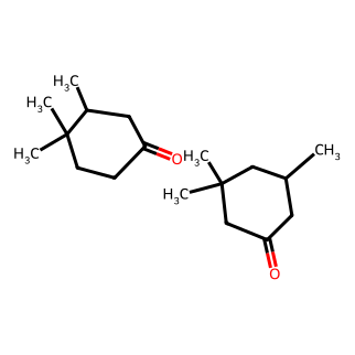 CC1CC(=O)CC(C)(C)C1.CC1CC(=O)CCC1(C)C